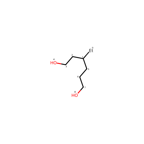 [CH2]CC(CCO)CCCO